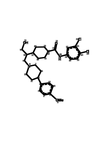 COc1ccc(C2CCN(CC(CO)C3CCN(C(=O)Nc4ccc(Cl)c(Cl)c4)CC3)CC2)cc1